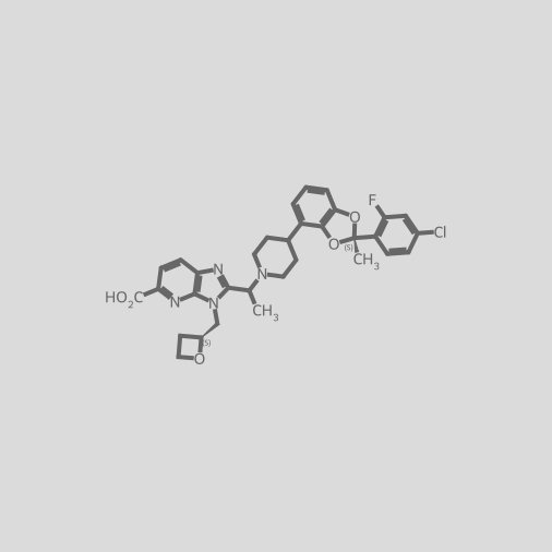 CC(c1nc2ccc(C(=O)O)nc2n1C[C@@H]1CCO1)N1CCC(c2cccc3c2O[C@@](C)(c2ccc(Cl)cc2F)O3)CC1